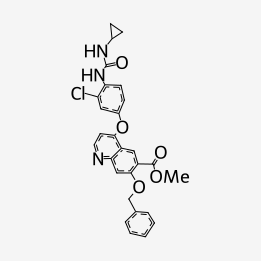 COC(=O)c1cc2c(Oc3ccc(NC(=O)NC4CC4)c(Cl)c3)ccnc2cc1OCc1ccccc1